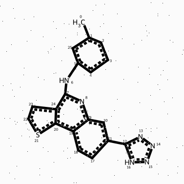 Cc1cccc(Nc2nc3cc(-c4nnn[nH]4)ccc3c3sccc23)c1